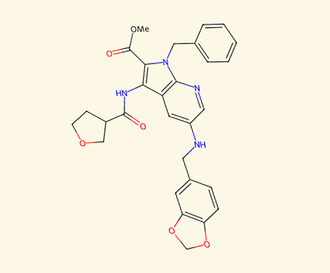 COC(=O)c1c(NC(=O)C2CCOC2)c2cc(NCc3ccc4c(c3)OCO4)cnc2n1Cc1ccccc1